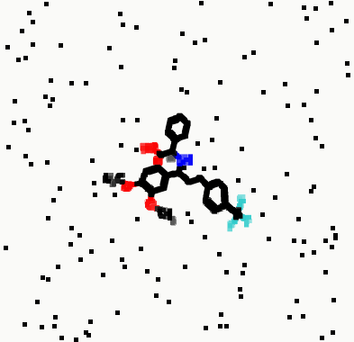 COc1ccc(C(CCc2ccc(C(F)(F)F)cc2)N[C@@H](C(=O)O)c2ccccc2)cc1OC